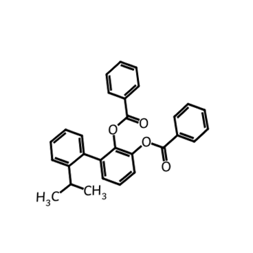 CC(C)c1ccccc1-c1cccc(OC(=O)c2ccccc2)c1OC(=O)c1ccccc1